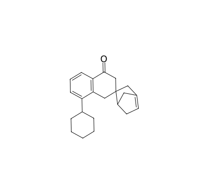 O=C1CC2(CC3=CCC2C3)Cc2c1cccc2C1CCCCC1